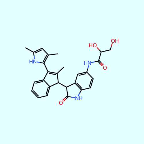 CC1=C(c2[nH]c(C)cc2C)c2ccccc2C1C1C(=O)Nc2ccc(NC(=O)C(O)CO)cc21